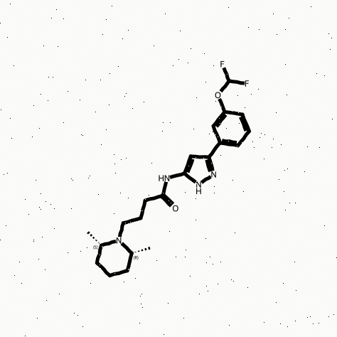 C[C@@H]1CCC[C@H](C)N1CCCC(=O)Nc1cc(-c2cccc(OC(F)F)c2)n[nH]1